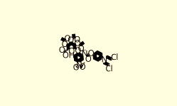 CC(=O)O[C@@H]1[C@@H](OC(C)=O)[C@H](Oc2ccc([N+](=O)[O-])cc2N(C)C(=O)Oc2ccc(N(CCCl)CCCl)cc2)O[C@H](C(=O)O)[C@H]1OC(C)=O